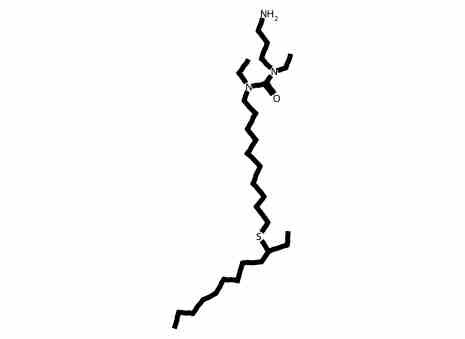 CCCCCCCCCC(CC)SCCCCCCCCCCN(CC)C(=O)N(CC)CCCN